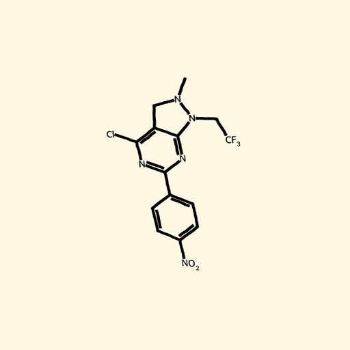 CN1Cc2c(Cl)nc(-c3ccc([N+](=O)[O-])cc3)nc2N1CC(F)(F)F